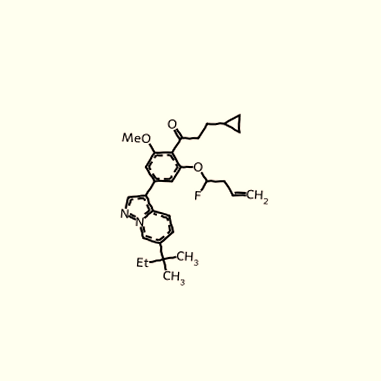 C=CCC(F)Oc1cc(-c2cnn3cc(C(C)(C)CC)ccc23)cc(OC)c1C(=O)CCC1CC1